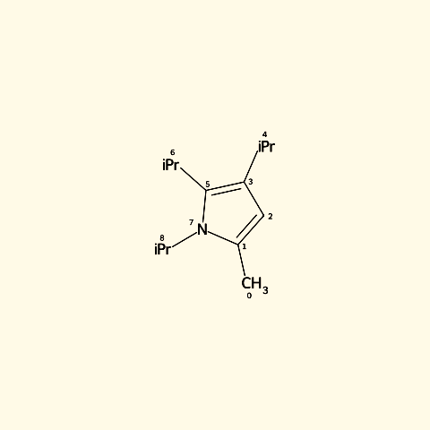 Cc1cc(C(C)C)c(C(C)C)n1C(C)C